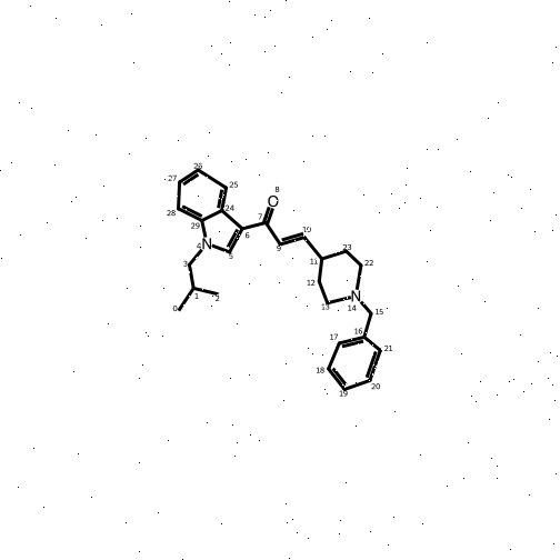 CC(C)Cn1cc(C(=O)C=CC2CCN(Cc3ccccc3)CC2)c2ccccc21